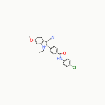 CCn1c(-c2ccc(C(=O)Nc3ccc(Cl)cc3)cc2)c(C#N)c2ccc(OC)cc21